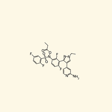 CCC(=O)ON(c1ccc(F)c(-c2nn(CC)cc2-c2ccnc(N)c2)c1F)S(=O)(=O)c1cc(F)ccc1F